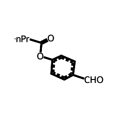 CC[CH]C(=O)Oc1ccc(C=O)cc1